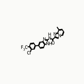 Cc1cccn2cc(C(=O)Nc3nc4cc(-c5ccc(C(F)(F)F)c(Cl)c5)ccc4[nH]3)nc12